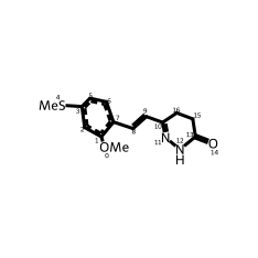 COc1cc(SC)ccc1C=CC1=NNC(=O)CC1